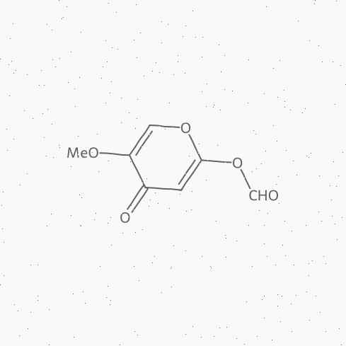 COc1coc(OC=O)cc1=O